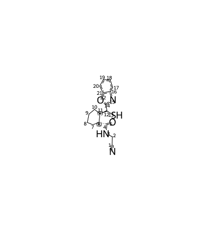 N#CCNC(=O)[C@@H]1CCCC[C@H]1C(S)c1nc2ccccc2o1